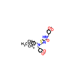 CC(C)(C)c1ccc(CN(Cc2ccc3c(c2)OCO3)Cc2nc(C(=O)NCc3ccc4c(c3)OCO4)cs2)cc1